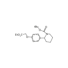 CCOC(=O)COc1ccc(C2CCCCN2C(=O)OC(C)(C)C)cc1